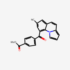 COC(=O)c1ccc(C(=O)c2cc(C#N)cc3ccc4cccn4c23)cc1